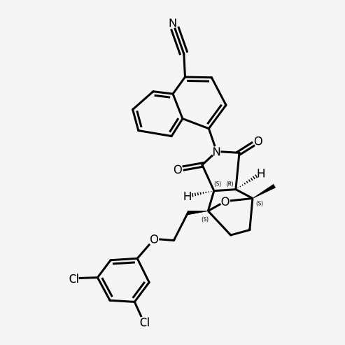 C[C@@]12CC[C@@](CCOc3cc(Cl)cc(Cl)c3)(O1)[C@H]1C(=O)N(c3ccc(C#N)c4ccccc34)C(=O)[C@H]12